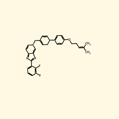 CC(C)=CCCOc1ccc(C2C=CC(Cn3ccc4nc(-c5cccc(F)c5F)nc-4c3)=CC2)cc1